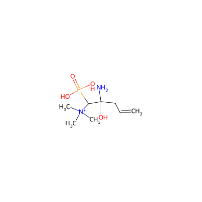 C=CCC(N)(O)C([N+](C)(C)C)P(=O)(O)O